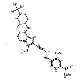 [2H]C([2H])([2H])N1CC[C@@H](Nc2cccc3c(SC(F)(F)F)c(C#CCNc4cnc(C(=O)NC)cc4OC)nn23)[C@@H](F)C1